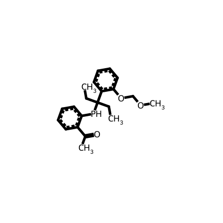 CCC(CC)(Pc1ccccc1C(C)=O)c1ccccc1OCOC